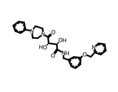 O=C(NCc1cccc(OCc2ccccn2)c1)[C@H](O)[C@@H](O)C(=O)N1CCN(c2ccccc2)CC1